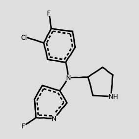 Fc1ccc(N(c2ccc(F)c(Cl)c2)C2CCNC2)cn1